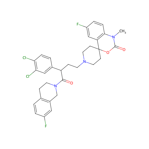 CN1C(=O)OC2(CCN(CCC(C(=O)N3CCc4ccc(F)cc4C3)c3ccc(Cl)c(Cl)c3)CC2)c2cc(F)ccc21